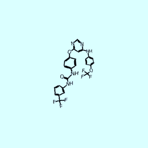 O=C(Nc1ccc(Oc2cc(Nc3ccc(OC(F)(F)F)cc3)ncn2)cc1)Nc1cccc(C(F)(F)F)c1